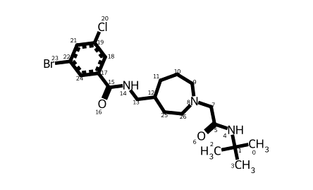 CC(C)(C)NC(=O)CN1CCCC(CNC(=O)c2cc(Cl)cc(Br)c2)CC1